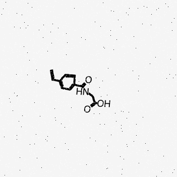 C=Cc1ccc(C(=O)NCC(=O)O)cc1